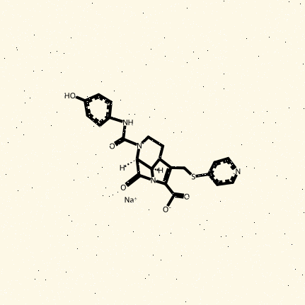 O=C([O-])C1=C(CSc2ccncc2)C2CCN(C(=O)Nc3ccc(O)cc3)[C@@H]3C(=O)N1[C@H]23.[Na+]